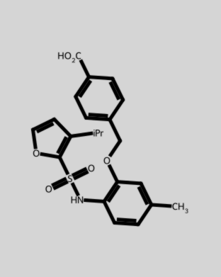 Cc1ccc(NS(=O)(=O)c2occc2C(C)C)c(OCc2ccc(C(=O)O)cc2)c1